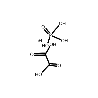 O=C(O)C(=O)O.O=P(O)(O)O.[LiH]